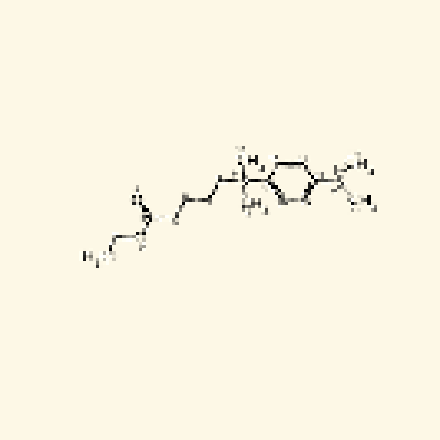 CCOC(=O)CCCCS(C)(C)c1ccc([SH](C)C)cc1